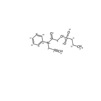 C#CCN(C(=O)COS(=O)(=O)CCC)c1ccccc1